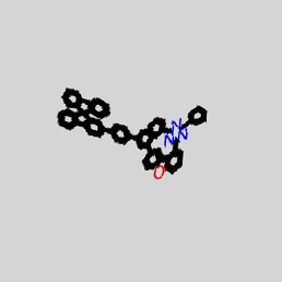 c1ccc(-c2nc(-c3ccccc3)nc(-c3cccc4oc5ccc(-c6cccc(-c7ccc(-c8ccc9c(c8)C8(c%10ccccc%10-c%10ccccc%108)c8ccccc8-9)cc7)c6)cc5c34)n2)cc1